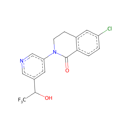 O=C1c2ccc(Cl)cc2CCN1c1cncc(C(O)C(F)(F)F)c1